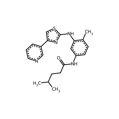 Cc1ccc(NC(=O)CCC(C)C)cc1Nc1nc(-c2cccnc2)cs1